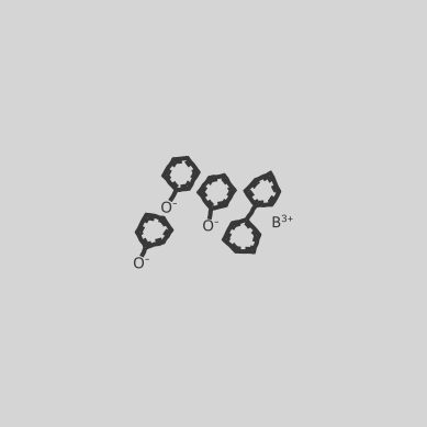 [B+3].[O-]c1ccccc1.[O-]c1ccccc1.[O-]c1ccccc1.c1ccc(-c2ccccc2)cc1